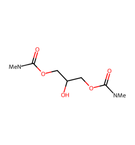 CNC(=O)OCC(O)COC(=O)NC